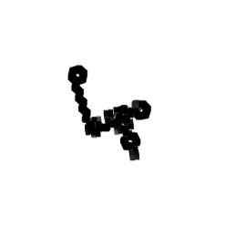 c1nc2c(NCc3nnn(CCCCCCCC4CCCCC4)n3)nc(N3CCNCC3)nc2n1C1CCCCO1